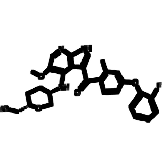 COc1cnc2[nH]cc(C(=O)c3ccc(Oc4ccccc4F)cc3C)c2c1N[C@@H]1CC[C@@H](CO)OC1